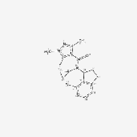 Cc1nn(C)c(F)c1C(=O)N(C1CC1)C1CCc2cccc(Cl)c21